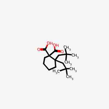 CC(C)(C)CC1(CC(C)(C)C)CCCCC1(C(=O)O)C(=O)O